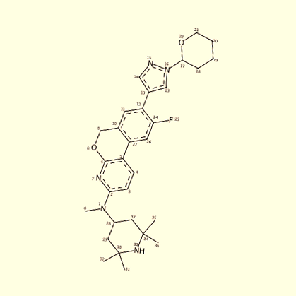 CN(c1ccc2c(n1)OCc1cc(-c3cnn(C4CCCCO4)c3)c(F)cc1-2)C1CC(C)(C)NC(C)(C)C1